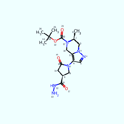 C[C@H]1Cn2ncc(N3C[C@@H](C(=O)NN)CC3=O)c2CN1C(=O)OC(C)(C)C